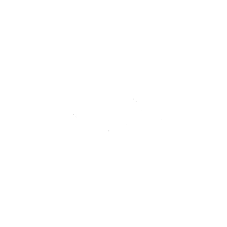 Cl.NC1(C(=O)CSCc2cccnc2)CCCCC1